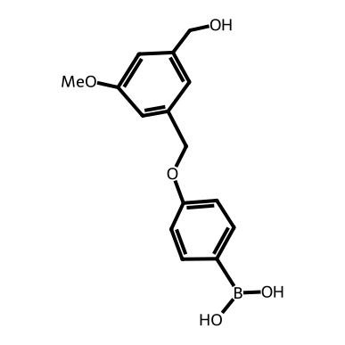 COc1cc(CO)cc(COc2ccc(B(O)O)cc2)c1